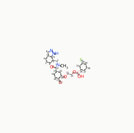 CN(Cc1cccc2cn[nH]c12)C(=O)c1ccc(Br)c(OCCOB(O)c2cccc(F)c2)c1